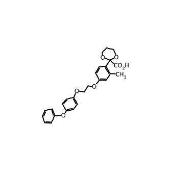 Cc1cc(OCCOc2ccc(Oc3ccccc3)cc2)ccc1C1(C(=O)O)OCCCO1